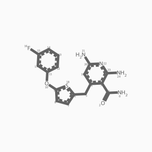 NC(=O)c1c(Cc2ccc(Oc3cccc(F)c3)s2)cc(N)nc1N